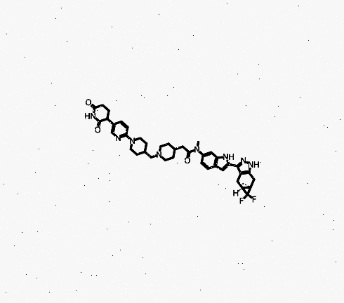 CN(C(=O)CC1CCN(CC2CCN(c3ccc(C4CCC(=O)NC4=O)cn3)CC2)CC1)c1ccc2cc(-c3n[nH]c4c3C[C@@H]3C(F)(F)[C@]3(C)C4)[nH]c2c1